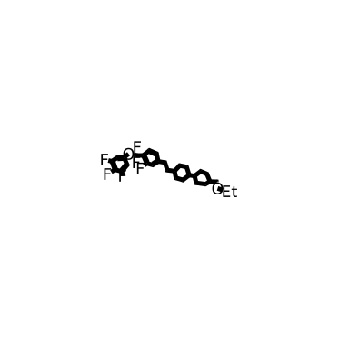 CCOCC1CCC(C2CCC(CCc3ccc(C(F)(F)Oc4cc(F)c(F)c(F)c4)c(F)c3)CC2)CC1